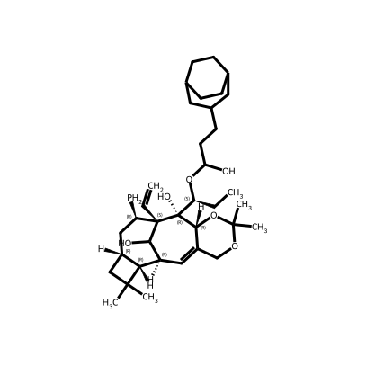 C=C[C@]12C(O)[C@@H](C=C3COC(C)(C)O[C@H]3[C@]1(O)[C@H](CC)OC(O)CCC1CC3CCC(CC3)C1)[C@H]1[C@@H](C[C@H]2P)CC1(C)C